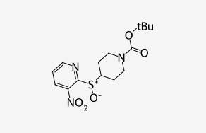 CC(C)(C)OC(=O)N1CCC([S+]([O-])c2ncccc2[N+](=O)[O-])CC1